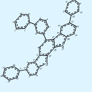 c1ccc(-c2cccc(-c3cc4c5cc(-c6ccccc6)ccc5sc4c4sc5ccc(-c6ccccc6)cc5c34)c2)cc1